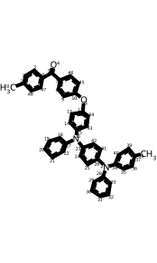 Cc1ccc(C(=O)c2ccc(Oc3ccc(N(c4ccccc4)c4ccc(N(c5ccccc5)c5ccc(C)cc5)cc4)cc3)cc2)cc1